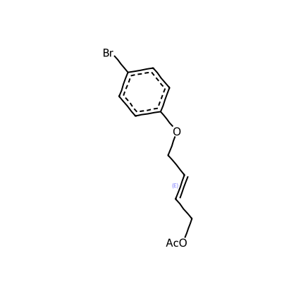 CC(=O)OC/C=C/COc1ccc(Br)cc1